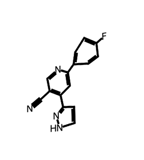 N#Cc1cnc(-c2ccc(F)cc2)cc1-c1cc[nH]n1